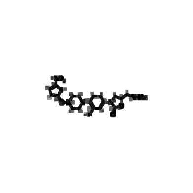 CC(=O)NCC1CN(c2ccc(N3CCN(Oc4ccc([N+](=O)[O-])s4)CC3)c(F)c2)C(=O)O1